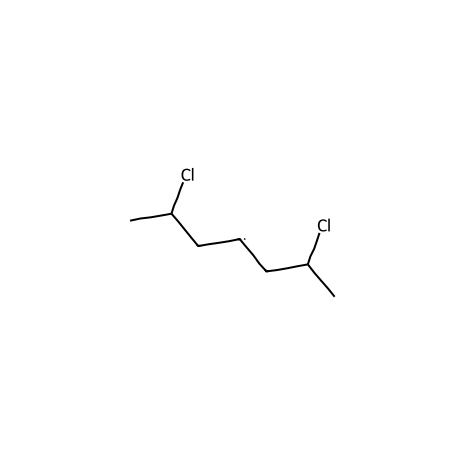 CC(Cl)C[CH]CC(C)Cl